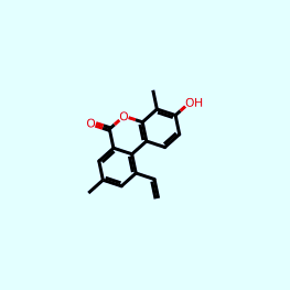 C=Cc1cc(C)cc2c(=O)oc3c(C)c(O)ccc3c12